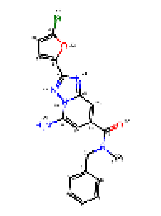 CC(C)N(Cc1ccccc1)C(=O)c1cc(N)n2nc(-c3ccc(Br)o3)nc2c1